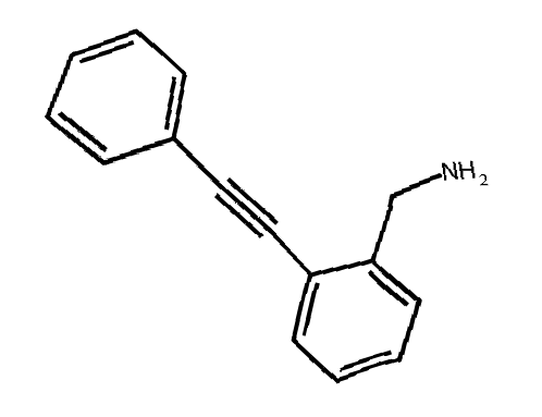 NCc1ccccc1C#Cc1ccccc1